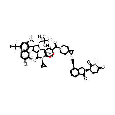 CCN1[C@@H](CC(C)(C)C)[C@@]2(CNc3cc(C(F)(F)F)ncc32)[C@@H](c2cccc(Cl)c2F)[C@@H]1C(=O)N(C1CC1)C12CCC(C(=O)N3CCC4(CC3)C[C@@H]4C#Cc3cccc4c3CN(C3CCC(=O)NC3=O)C4=O)(CC1)CC2